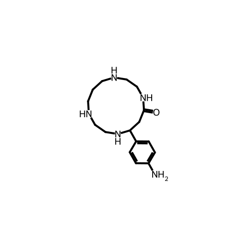 Nc1ccc(C2CC(=O)NCCNCCCNCCN2)cc1